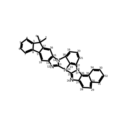 CC1(C)c2ccccc2-c2cc3nc4n(c3cc21)c1cccc2c1n4c1nc3ccc4ccccc4c3n21